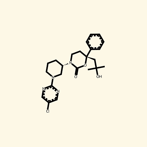 CC(C)(O)C[C@]1(c2ccccc2)CCN([C@H]2CCCN(c3ncc(Cl)cn3)C2)C(=O)O1